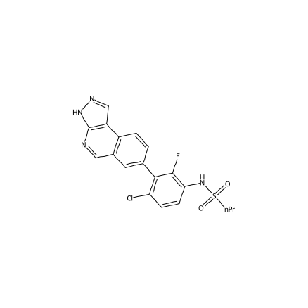 CCCS(=O)(=O)Nc1ccc(Cl)c(-c2ccc3c(cnc4[nH]ncc43)c2)c1F